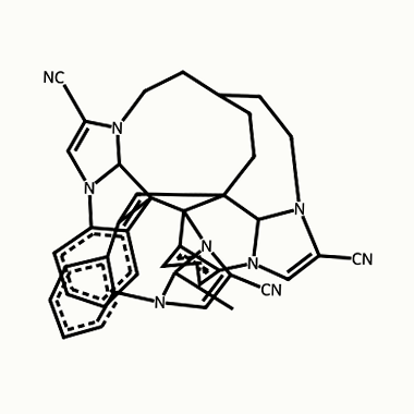 CC1N2C=C(C#N)N1C13c4ccccc4N4C=C(C#N)N5CCC6CCN7C(C#N)=CN8c9ccccc9C1(C(=CC3(CC6)C54)c1ccccc12)C78